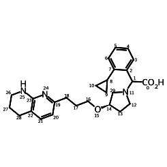 O=C(O)C(c1ccccc1C1CC1)N1CC[C@@H](OCCCc2ccc3c(n2)NCCC3)C1